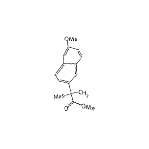 COC(=O)C(C)(SC)c1ccc2cc(OC)ccc2c1